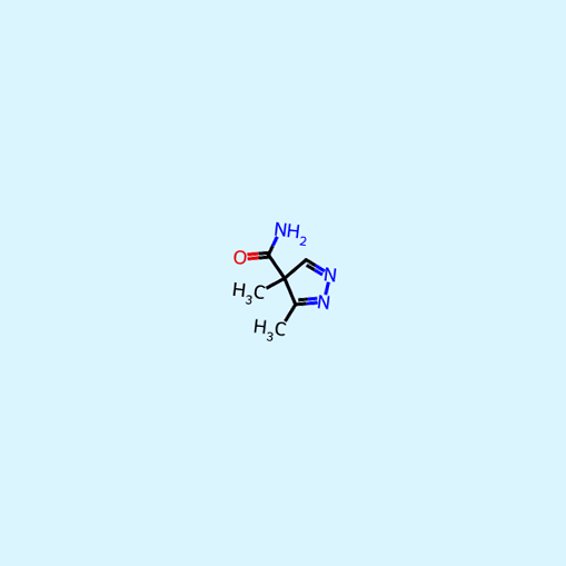 CC1=NN=CC1(C)C(N)=O